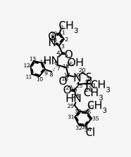 Cc1cc(C(=O)N[C@@H](Cc2ccccc2)[C@H](O)C(=O)N2CSC(C)(C)[C@H]2C(=O)NCc2ccc(Cl)cc2C)no1